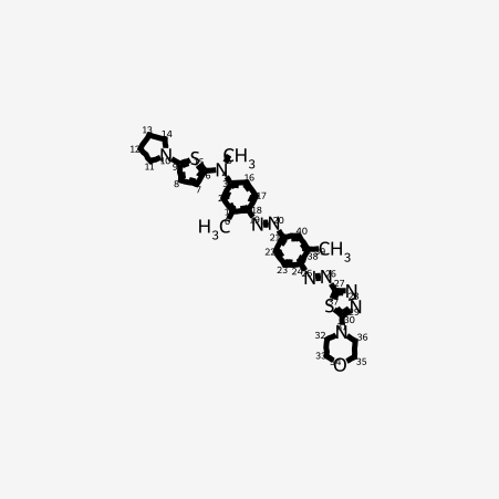 Cc1cc(N(C)c2ccc(N3CCCC3)s2)ccc1/N=N/c1ccc(/N=N/c2nnc(N3CCOCC3)s2)c(C)c1